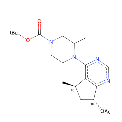 CC(=O)O[C@@H]1C[C@@H](C)c2c1ncnc2N1CCN(C(=O)OC(C)(C)C)CC1C